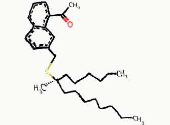 CCCCCCCC[C@](C)(CCCCCC)SCc1ccc2cccc(C(C)=O)c2c1